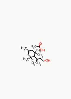 C=C(CCO)C1C(C)(C)C=C(C)CC1(C)C.CC(=O)O